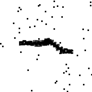 CCCCCCCCCCCCCCCCCn1cc[n+](CCCCCCCCCCCCCCCCC)c1